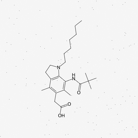 CCCCCCCN1CCc2c(C)c(CC(=O)O)c(C)c(NC(=O)C(C)(C)C)c21